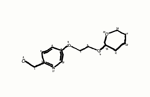 ClCc1ccc(OCCOC2CCCCO2)cn1